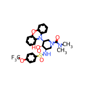 CN(C)C(=O)N1C[C@@H](NS(=O)(=O)c2ccc(OC(F)(F)F)cc2)[C@H](O)[C@@H](N2c3ccccc3Oc3ccccc32)C1